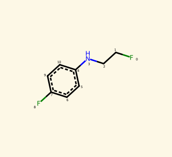 FCCNc1ccc(F)cc1